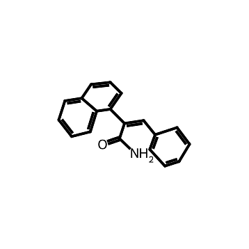 NC(=O)/C(=C\c1ccccc1)c1cccc2ccccc12